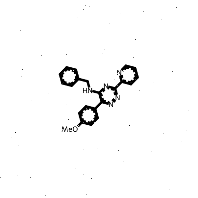 COc1ccc(-c2nnc(-c3ccccn3)nc2NCc2ccccc2)cc1